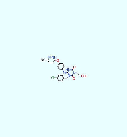 N#CC1=NNC(Oc2ccc(/N=c3\[nH]c(=O)n(CCO)c(=O)n3Cc3ccc(Cl)cc3)cc2)CC1